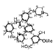 COc1cc(C(=O)O)ccc1O.Cc1ccc(NC(=O)c2ccc(CN3CCN(C)CC3)cc2)cc1Nc1nccc(-c2cccnc2)n1